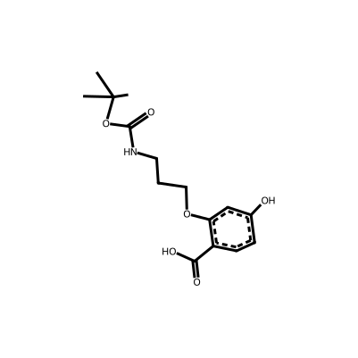 CC(C)(C)OC(=O)NCCCOc1cc(O)ccc1C(=O)O